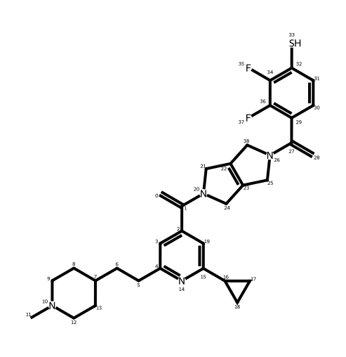 C=C(c1cc(CCC2CCN(C)CC2)nc(C2CC2)c1)N1CC2=C(C1)CN(C(=C)c1ccc(S)c(F)c1F)C2